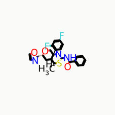 C[C@H]1SC(NC(=O)c2ccccc2)=N[C@@]2(c3ccc(F)cc3F)CO[C@@H](c3ncco3)C[C@@H]12